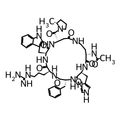 CC(=O)N[C@H]1CCNC(=O)C[C@@H](C(=O)N2CCC[C@H]2C)NC(=O)[C@H](Cc2c[nH]c3ccccc23)NC(=O)[C@H](CCCNC(=N)N)NC(=O)[C@@H](Cc2ccccc2)NC(=O)[C@H](Cc2c[nH]cn2)NC1=O